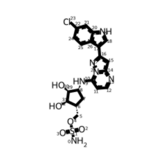 NS(=O)(=O)OC[C@H]1C[C@@H](Nc2ccnc3cc(-c4c[nH]c5cc(Cl)ccc45)nn23)[C@H](O)[C@@H]1O